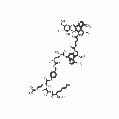 CC(=O)N[C@@H](CCCCN)C(=O)N[C@H](C(=O)N[C@@H](CCCNC(N)=O)C(=O)Nc1ccc(COC(=O)N(C)CCN(C)C(=O)Oc2cc3c(c4c(C)csc24)[C@H](CCl)CN3C(=O)CCCC(=O)N2C[C@@H](CCl)c3c2cc(O[C@@H]2O[C@H](CO)[C@H](O)[C@H](O)[C@H]2O)c2scc(C)c32)cc1)C(C)C